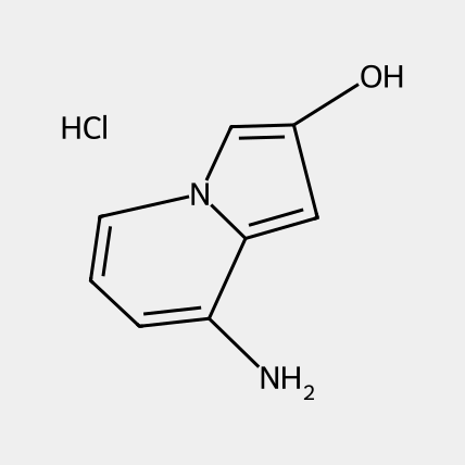 Cl.Nc1cccn2cc(O)cc12